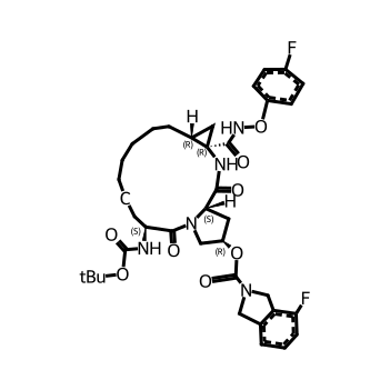 CC(C)(C)OC(=O)N[C@H]1CCCCCCC[C@@H]2C[C@@]2(C(=O)NOc2ccc(F)cc2)NC(=O)[C@@H]2C[C@@H](OC(=O)N3Cc4cccc(F)c4C3)CN2C1=O